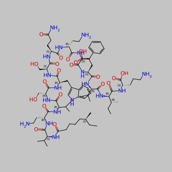 CC[C@H](C)CCCCC(=O)N[C@H](C(=O)N[C@H](CCN)C(=O)N[C@@H](C(=O)N[C@H](CO)C(=O)N[C@H](Cc1c[nH]c2ccccc12)C(=O)N[C@@H](CO)C(=O)N[C@@H](CCC(N)=O)C(=O)N[C@H](CCN)C(=O)N[C@@H](Cc1ccccc1)C(=O)N[C@@H](CCC(=O)O)C(=O)N[C@@H](C(=O)N[C@@H](C(=O)N[C@@H](CCCN)C(=O)O)[C@H](C)CC)C(C)C)C(C)C)C(C)C